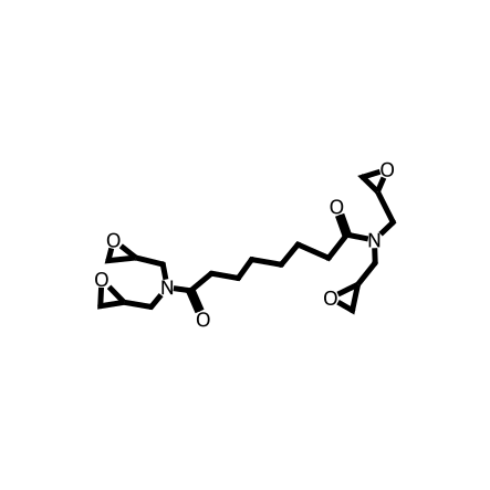 O=C(CCCCCCC(=O)N(CC1CO1)CC1CO1)N(CC1CO1)CC1CO1